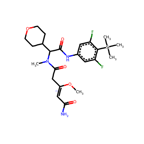 CO/C(=C\C(N)=O)CC(=O)N(C)C(C(=O)Nc1cc(F)c([Si](C)(C)C)c(F)c1)C1CCOCC1